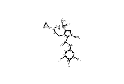 Cn1cc2c(c1C(=O)Nc1cc(F)c(F)c(F)c1)CC[C@H](C1CC1)NS2(=N)=O